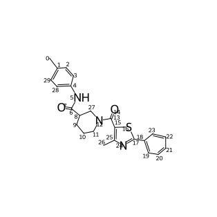 Cc1ccc(NC(=O)C2CCCN(C(=O)c3sc(-c4ccccc4)nc3C)C2)cc1